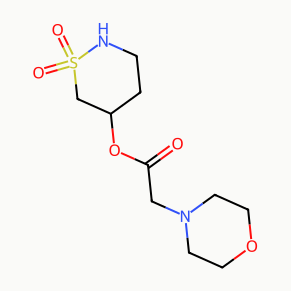 O=C(CN1CCOCC1)OC1CCNS(=O)(=O)C1